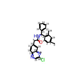 Cc1ccc(C(NC(=O)Cc2ccc3ncc(Cl)nc3c2)c2ccccc2)c(C)c1